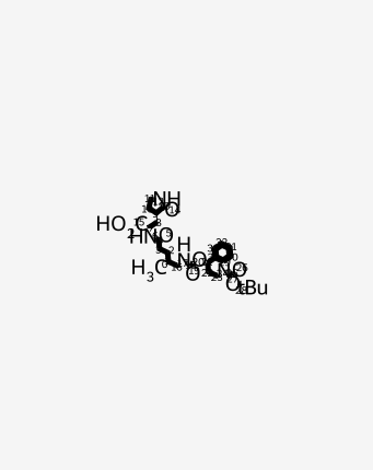 CC(CCC(=O)N[C@@H](C[C@@H]1CCNC1=O)C(=O)O)CNC(=O)OC1CCN(C(=O)OC(C)(C)C)c2ccccc21